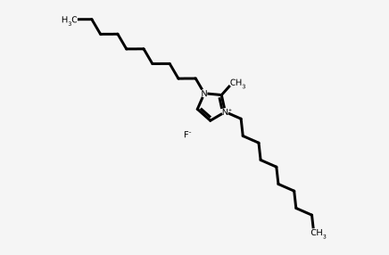 CCCCCCCCCCn1cc[n+](CCCCCCCCCC)c1C.[F-]